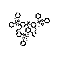 C=CCc1cc(P(=O)(c2ccc(OP(=O)(Oc3ccccc3)Oc3ccccc3)c(CC=C)c2)c2ccc(OP(=O)(Oc3ccccc3)c3ccccc3)c(CC=C)c2)ccc1OP(=O)(Oc1ccccc1)Oc1ccccc1